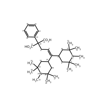 CN1C(C)(C)CC(C(=CCC(C(=O)O)(C(=O)O)c2ccccc2)C2CC(C)(C)N(C)C(C)(C)C2)CC1(C)C